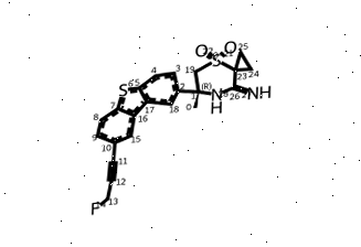 C[C@@]1(c2ccc3sc4ccc(C#CCF)cc4c3c2)CS(=O)(=O)C2(CC2)C(=N)N1